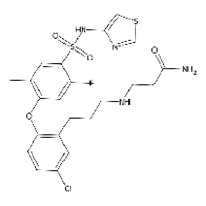 Cc1cc(S(=O)(=O)Nc2cscn2)c(F)cc1Oc1ccc(Cl)cc1CCCNCCC(N)=O